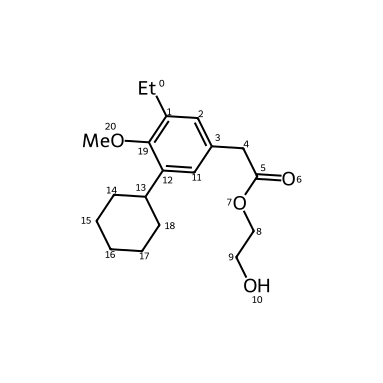 CCc1cc(CC(=O)OCCO)cc(C2CCCCC2)c1OC